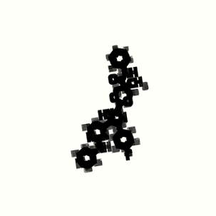 CC1(C(=O)Nc2ccccc2)COC(c2nc(-c3ccc(F)cc3)c(-c3ccnc(Nc4ccncc4)n3)[nH]2)OC1